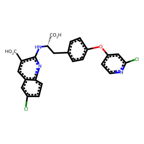 O=C(O)c1cc2cc(Cl)ccc2nc1N[C@@H](Cc1ccc(Oc2ccnc(Cl)c2)cc1)C(=O)O